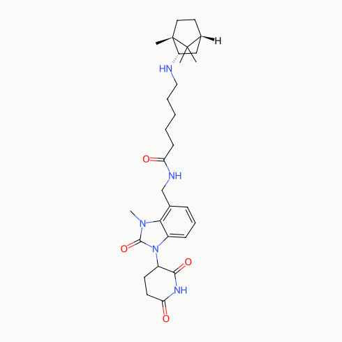 Cn1c(=O)n(C2CCC(=O)NC2=O)c2cccc(CNC(=O)CCCCCN[C@H]3C[C@H]4CC[C@]3(C)C4(C)C)c21